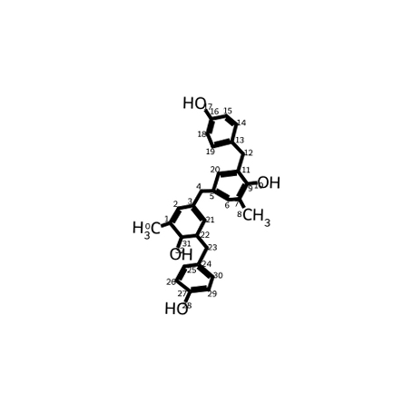 CC1=CC(Cc2cc(C)c(O)c(Cc3ccc(O)cc3)c2)=CC(Cc2ccc(O)cc2)C1O